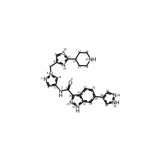 O=C(Nc1cnn(Cc2csc(C3CCNCC3)n2)c1)c1n[nH]c2cc(-c3cn[nH]c3)ccc12